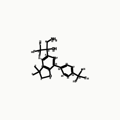 CC1(C)COc2c1cc(C(O)(CN)C(F)(F)F)nc2-c1ccc(C(F)(F)F)cc1